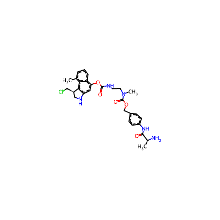 Cc1cccc2c(OC(=O)NCCN(C)C(=O)OCc3ccc(NC(=O)[C@H](C)N)cc3)cc3c(c12)[C@H](CCl)CN3